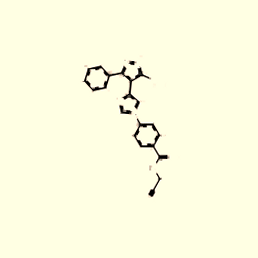 C#CCNC(=O)c1ccc(-n2cnc(-c3c(-c4ccccc4)noc3C)c2)cc1